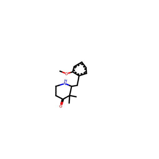 COc1ccccc1CC1NCCC(=O)C1(C)C